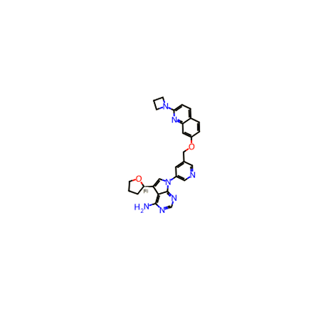 Nc1ncnc2c1c([C@H]1CCCO1)cn2-c1cncc(COc2ccc3ccc(N4CCC4)nc3c2)c1